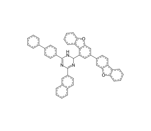 c1ccc(-c2ccc(C3=NC(c4ccc5ccccc5c4)=NC(c4cc(-c5ccc6c(c5)oc5ccccc56)cc5oc6ccccc6c45)N3)cc2)cc1